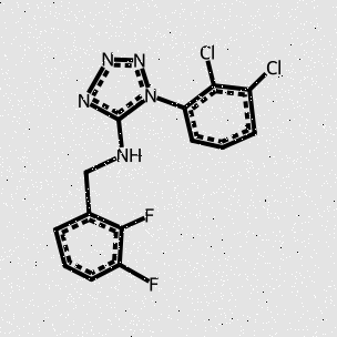 Fc1cccc(CNc2nnnn2-c2cccc(Cl)c2Cl)c1F